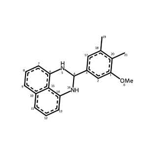 COc1cc(C2Nc3cccc4cccc(c34)N2)cc(C)c1C